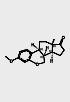 COc1ccc2c(c1)OC[C@H]1[C@@H]2CC[C@]2(C)C(=O)CC[C@@H]12